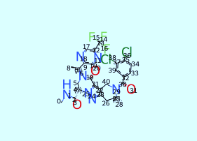 CNC(=O)[C@@H]1CN([C@@H](C)c2cnc(C(F)(F)F)cn2)C(=O)c2c3c(nn21)C[C@@H](C)N(C(=O)c1ccc(Cl)c(Cl)c1)C3